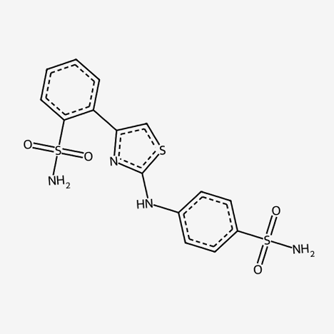 NS(=O)(=O)c1ccc(Nc2nc(-c3ccccc3S(N)(=O)=O)cs2)cc1